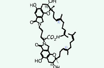 CC(C)=CCC/C(C)=C/CC[C@]1(C)Oc2c(c(O)cc3c2CN(CCC[C@@H](C(=O)O)N2Cc4c(cc(O)c5c4O[C@@](C)(CC/C=C(\C)CCC=C(C)C)[C@@H](O)C5)C2=O)C3=O)C[C@@H]1O